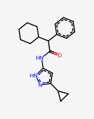 O=C(Nc1cc(C2CC2)n[nH]1)C(c1ccccc1)C1CCCCC1